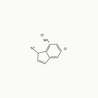 [Cl-].[Cl-].[SiH4].[Ti+2][CH]1C=Cc2ccccc21